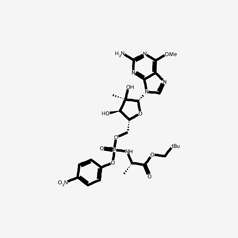 COc1nc(N)nc2c1ncn2[C@@H]1O[C@H](COP(=O)(N[C@@H](C)C(=O)OCC(C)(C)C)Oc2ccc([N+](=O)[O-])cc2)[C@@H](O)[C@@]1(C)O